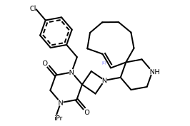 CC(C)N1CC(=O)N(Cc2ccc(Cl)cc2)C2(CN(C3CCNCC34/C=C/CCCCCC4)C2)C1=O